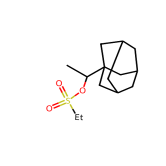 CCS(=O)(=O)OC(C)C12CC3CC(CC(C3)C1)C2